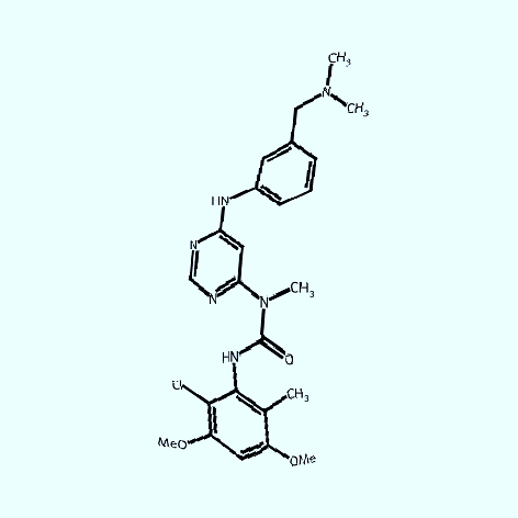 COc1cc(OC)c(Cl)c(NC(=O)N(C)c2cc(Nc3cccc(CN(C)C)c3)ncn2)c1C